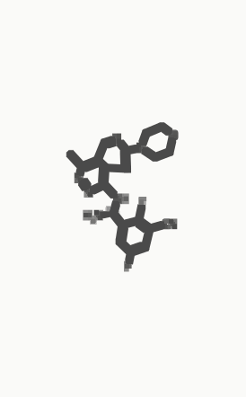 Cc1nnc(N[C@H](N)c2cc(F)cc(C#N)c2F)c2cc(N3CCOCC3)ncc12